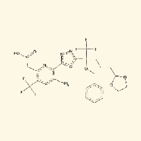 Nc1cc(C(F)(F)F)c(CC(=O)O)nc1-c1nnc(C(CCCC2OCCO2)(OCc2ccccc2)C(F)(F)F)o1